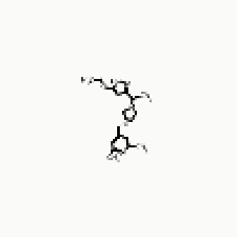 CCOc1cc(C(C)N2CC[C@H](Cc3cc(C)nc(C)c3)C2)n[nH]1